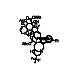 CCc1ccc2[nH]c3c(c2c1)CN1CC(C(C)(F)F)C[C@@H](C1)C[C@]3(C(=O)OC)C1C=C2C(=CC1OC)N(C)[C@H]1[C@@](O)(C(=O)OC)[C@H](OC(C)=O)[C@]3(CC)C=CCN4CC[C@]21[C@@H]43